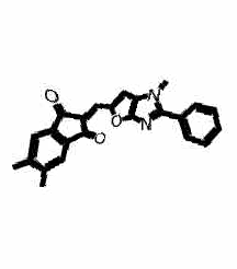 Cc1cc2c(cc1C)C(=O)C(=Cc1cc3c(nc(-c4ccccc4)n3C)o1)C2=O